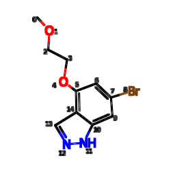 COCCOc1cc(Br)cc2[nH]ncc12